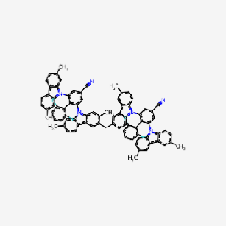 Cc1ccc2c(c1)c1cc(C)ccc1n2-c1cc(C#N)cc(-n2c3ccc(C)cc3c3cc(Cc4cc5c6ccc(C)cc6n(-c6cc(C#N)cc(-n7c8cc(C)ccc8c8ccc(C)cc87)c6-c6c(F)cccc6F)c5cc4C)ccc32)c1-c1c(F)cccc1F